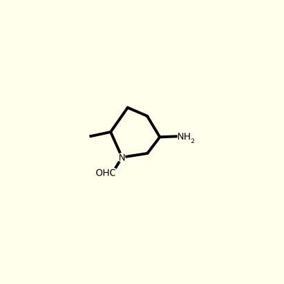 CC1CCC(N)CN1C=O